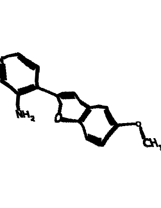 COc1ccc2oc(-c3ccncc3N)cc2c1